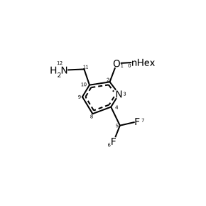 CCCCCCOc1nc(C(F)F)ccc1CN